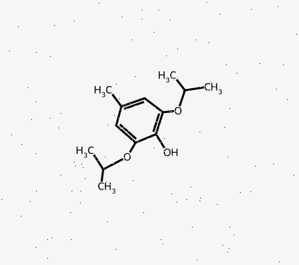 Cc1cc(OC(C)C)c(O)c(OC(C)C)c1